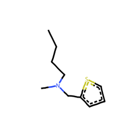 CCCCN(C)Cc1cccs1